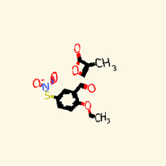 CC1=COC1=O.CCOc1ccc(S[N+](=O)[O-])cc1C=O